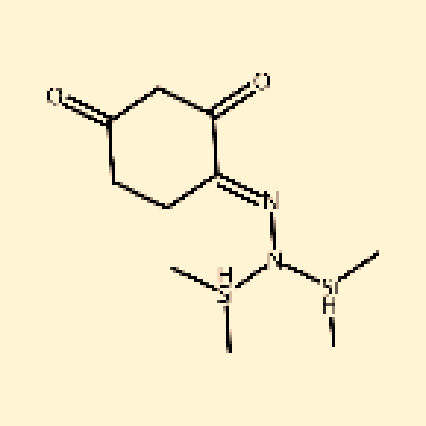 C[SiH](C)N(N=C1CCC(=O)CC1=O)[SiH](C)C